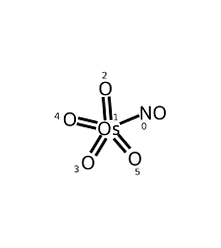 O=[N][Os](=[O])(=[O])(=[O])=[O]